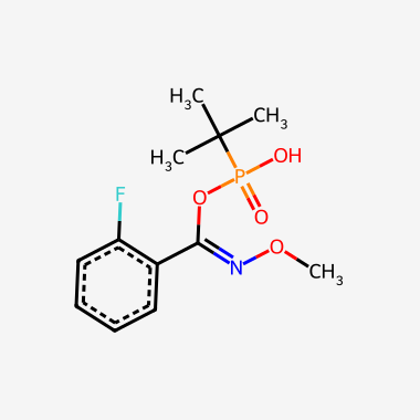 CON=C(OP(=O)(O)C(C)(C)C)c1ccccc1F